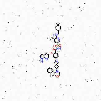 CC(C)c1ccccc1[C@@H]1COCCN1C1CC2(C1)CN(c1ccc(C(=O)NS(=O)(=O)c3cnc(NCC4CCC(C)(C)CC4)c([N+](=O)[O-])c3)c(Oc3cnc4[nH]ccc4c3)c1)C2